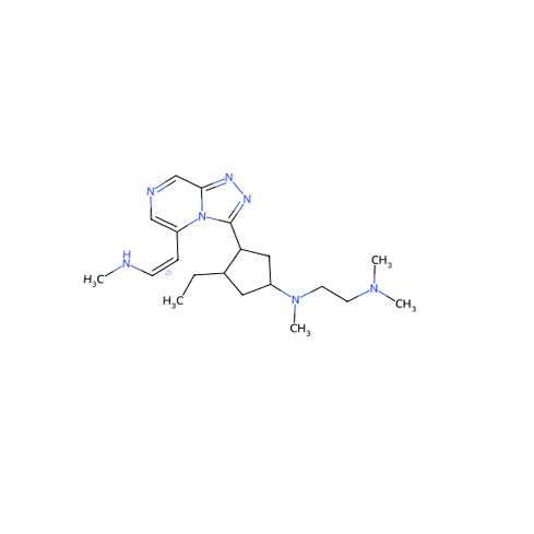 CCC1CC(N(C)CCN(C)C)CC1c1nnc2cncc(/C=C\NC)n12